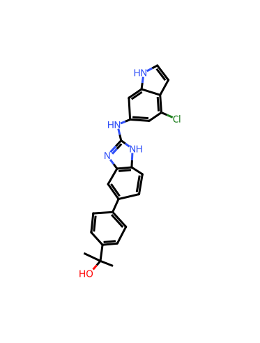 CC(C)(O)c1ccc(-c2ccc3[nH]c(Nc4cc(Cl)c5cc[nH]c5c4)nc3c2)cc1